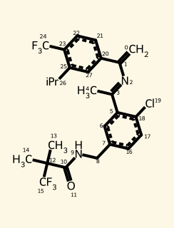 C=C(/N=C(\C)c1cc(CNC(=O)C(C)(C)C(F)(F)F)ccc1Cl)c1ccc(C(F)(F)F)c(C(C)C)c1